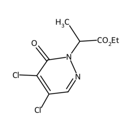 CCOC(=O)C(C)n1ncc(Cl)c(Cl)c1=O